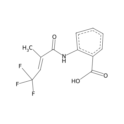 CC(=CC(F)(F)F)C(=O)Nc1ccccc1C(=O)O